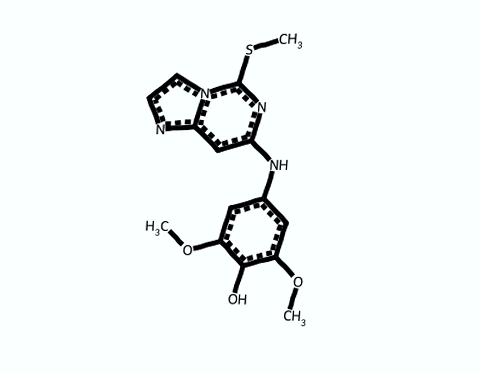 COc1cc(Nc2cc3nccn3c(SC)n2)cc(OC)c1O